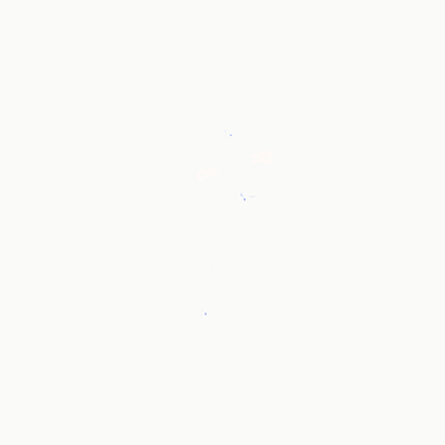 O=S(=O)(NCCCN1CCCCC1)N1CC[CH]CC1